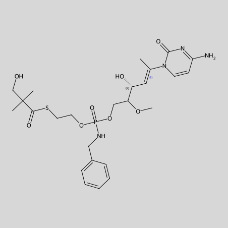 COC(COP(=O)(NCc1ccccc1)OCCSC(=O)C(C)(C)CO)[C@H](O)/C=C(\C)n1ccc(N)nc1=O